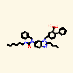 CCCCCCNC(=O)N(Cc1ccccc1)c1ccc2nc(CCCC)n(Cc3ccc(-c4ccccc4)c(C(=O)O)c3)c2c1